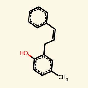 Cc1ccc(O)c(C/C=C\c2ccccc2)c1